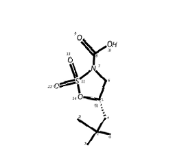 CC(C)(C)C[C@H]1CN(C(=O)O)S(=O)(=O)O1